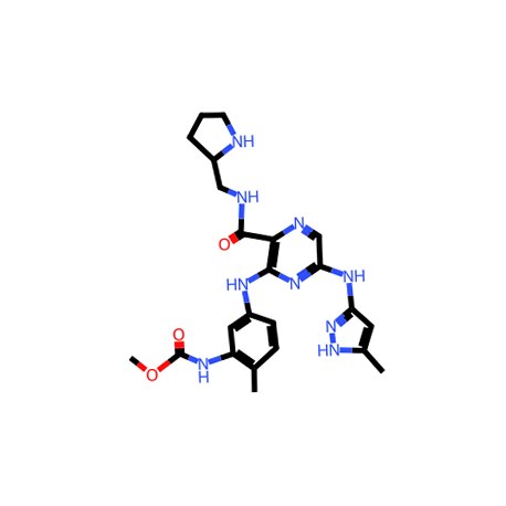 COC(=O)Nc1cc(Nc2nc(Nc3cc(C)[nH]n3)cnc2C(=O)NCC2CCCN2)ccc1C